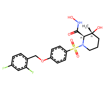 C[C@@]1(O)CCCN(S(=O)(=O)c2ccc(OCc3ccc(F)cc3F)cc2)[C@H]1C(=O)NO